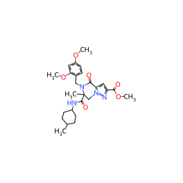 COC(=O)c1cc2n(n1)CC(C)(C(=O)NC1CCC(C)CC1)N(Cc1ccc(OC)cc1OC)C2=O